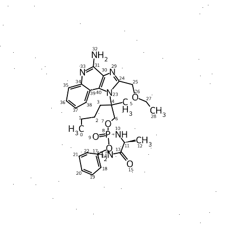 CCCCC(C)(CO[P@@](=O)(N[C@@H](C)C(N)=O)Oc1ccccc1)n1c(COCC)nc2c(N)nc3ccccc3c21